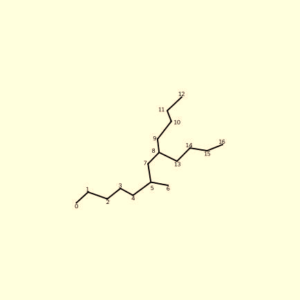 CCCCCC(C)CC(CCCC)CCCC